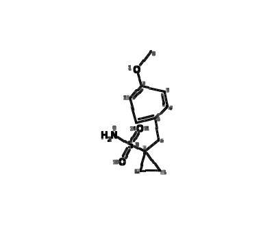 COc1ccc(CC2(S(N)(=O)=O)CC2)cc1